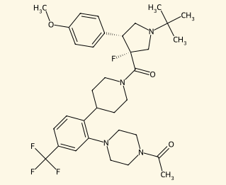 COc1ccc([C@@H]2CN(C(C)(C)C)C[C@@]2(F)C(=O)N2CCC(c3ccc(C(F)(F)F)cc3N3CCN(C(C)=O)CC3)CC2)cc1